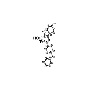 CCN(Cc1c(C(=O)O)sc2cc(C)ccc12)C1CCN(Cc2ccccc2)CC1